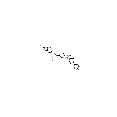 CCCN(CCC1CCC(NS(=O)(=O)c2ccc(-c3ccc(C)cc3)cc2)CC1)C1CCc2sc(N)nc2C1